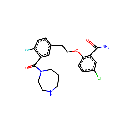 NC(=O)c1cc(Cl)ccc1OCCc1ccc(F)c(C(=O)N2CCCNCC2)c1